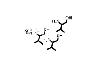 CC(C)C(N)CO.CC(C)C(N)CO.CC(C)C(N)CO.[Cl-].[Cl-].[Zn+2]